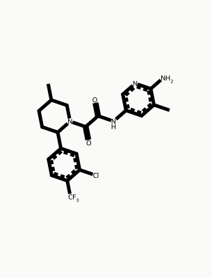 Cc1cc(NC(=O)C(=O)N2CC(C)CCC2c2ccc(C(F)(F)F)c(Cl)c2)cnc1N